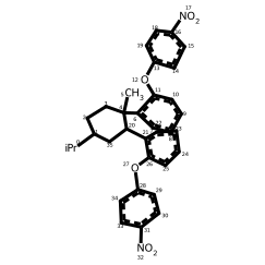 CC(C)C1CCC(C)(c2ccccc2Oc2ccc([N+](=O)[O-])cc2)C(c2ccccc2Oc2ccc([N+](=O)[O-])cc2)C1